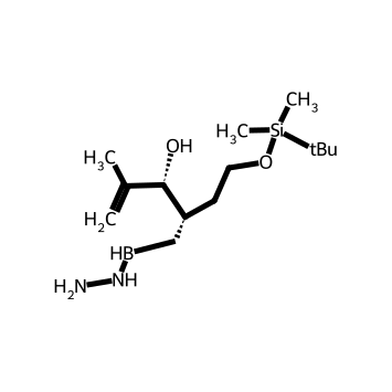 C=C(C)[C@H](O)[C@@H](CBNN)CCO[Si](C)(C)C(C)(C)C